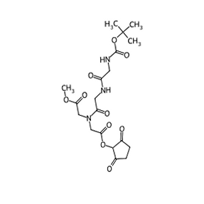 COC(=O)CN(CC(=O)OC1C(=O)CCC1=O)C(=O)CNC(=O)CNC(=O)OC(C)(C)C